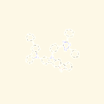 c1ccc(-c2ccc3c(c2)c2ccccc2n3-c2ccc3c4cc5oc6ccccc6c5cc4n(-c4cccc(-c5nc(-c6ccccc6)nc(-c6ccccc6)n5)c4)c3c2)cc1